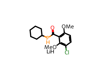 COc1ccc(Cl)c(OC)c1C(=O)P[C]1CCCCC1.[LiH]